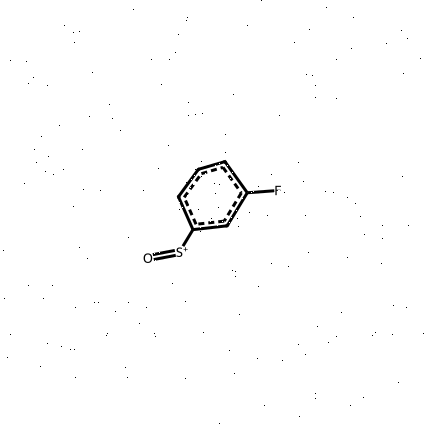 O=[S+]c1cccc(F)c1